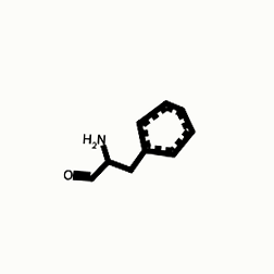 N[C](C=O)Cc1ccccc1